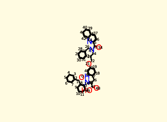 O=C(c1ccccc1)c1ccccc1N[C@@H](Cc1ccc(OCCCN(Cc2ccccc2)C(=O)c2ccc3ccccc3n2)cc1)C(=O)O